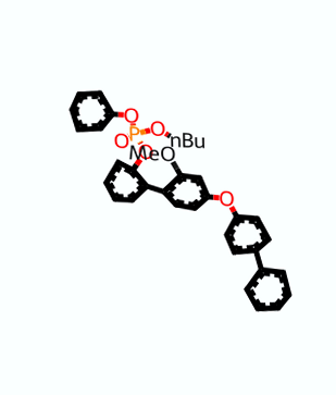 CCCCOP(=O)(Oc1ccccc1)Oc1ccccc1-c1ccc(Oc2ccc(-c3ccccc3)cc2)cc1OC